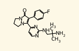 CC(C)(N)CNc1nccc(-c2c(-c3ccc(F)cc3)c(=O)n3n2CCC3)n1